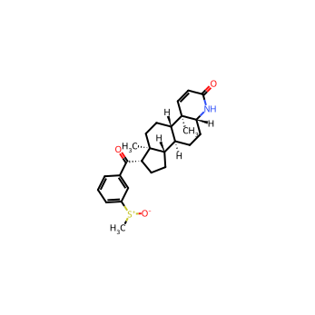 C[S+]([O-])c1cccc(C(=O)[C@H]2CC[C@H]3[C@@H]4CC[C@H]5NC(=O)C=C[C@]5(C)[C@H]4CC[C@]23C)c1